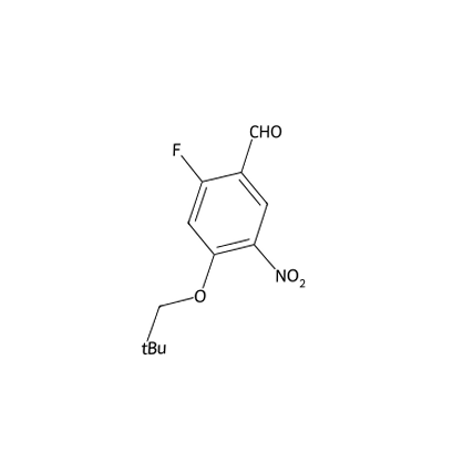 CC(C)(C)COc1cc(F)c(C=O)cc1[N+](=O)[O-]